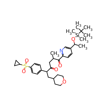 CC(CC(=O)C(CC1CCOCC1)c1ccc(S(=O)(=O)C2CC2)cc1)C(=O)c1ccc(C(C)O[Si](C)(C)C(C)(C)C)cn1